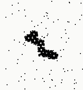 CC1(C)c2ccc(-c3cccc(-c4ccc5c6ccccc6c6ccccc6c5c4)c3)cc2-c2cc3c(cc21)Sc1ccccc1S3